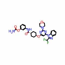 NC(=O)Oc1cccc(NC(=O)[C@H]2CC[C@H](Oc3cc(-n4c(C(F)F)nc5ccccc54)nc(N4CCOCC4)n3)CC2)c1